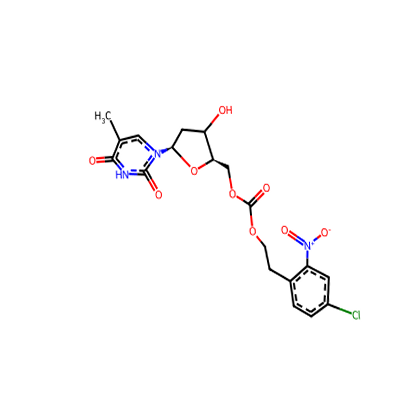 Cc1cn([C@H]2CC(O)[C@@H](COC(=O)OCCc3ccc(Cl)cc3[N+](=O)[O-])O2)c(=O)[nH]c1=O